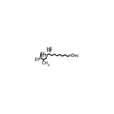 CCCCCCCCCCCCCCCCCCN(CC)CC(C)N(CC)CC.F.F